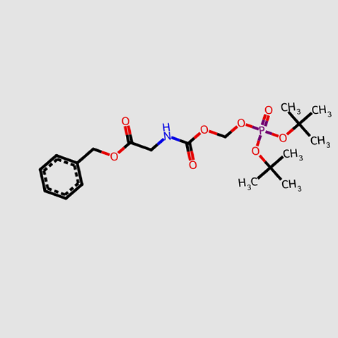 CC(C)(C)OP(=O)(OCOC(=O)NCC(=O)OCc1ccccc1)OC(C)(C)C